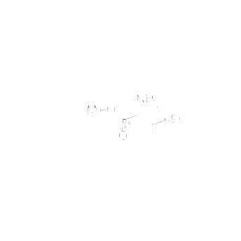 CCCC[C@@H](N)C(=O)OC